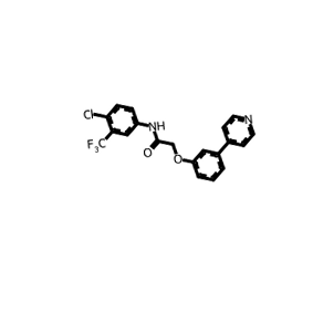 O=C(COc1cccc(-c2ccncc2)c1)Nc1ccc(Cl)c(C(F)(F)F)c1